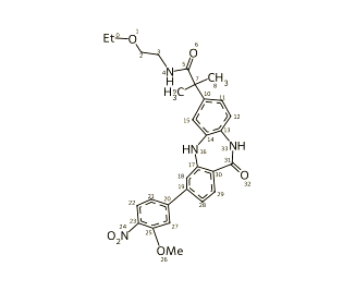 CCOCCNC(=O)C(C)(C)c1ccc2c(c1)Nc1cc(-c3ccc([N+](=O)[O-])c(OC)c3)ccc1C(=O)N2